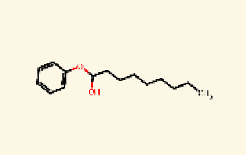 CCCCCCCCC(O)Oc1ccccc1